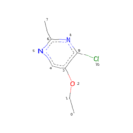 CCOc1cnc(C)nc1Cl